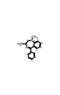 CN1CC(N)N=C(c2ccccc2)c2ccccc21